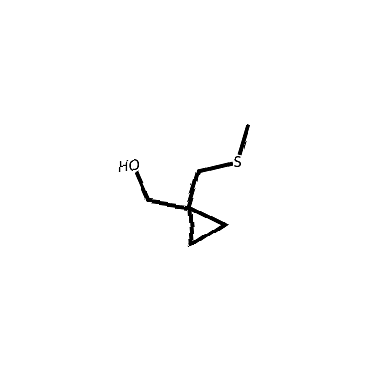 CSCC1(CO)CC1